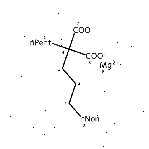 CCCCCCCCCCCCC(CCCCC)(C(=O)[O-])C(=O)[O-].[Mg+2]